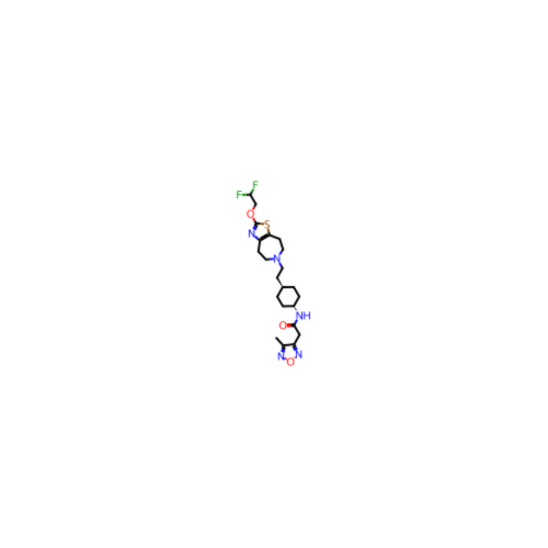 Cc1nonc1CC(=O)N[C@H]1CC[C@H](CCN2CCc3nc(OCC(F)F)sc3CC2)CC1